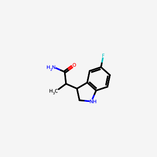 CC(C(N)=O)C1CNc2ccc(F)cc21